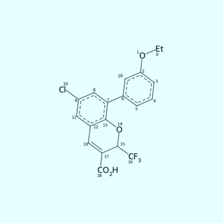 CCOc1cccc(-c2cc(Cl)cc3c2OC(C(F)(F)F)C(C(=O)O)=C3)c1